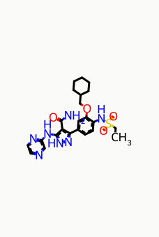 CCS(=O)(=O)Nc1ccc(-c2n[nH]c(Nc3cnccn3)c2C(N)=O)cc1OCC1CCCCC1